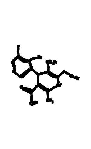 CCc1c(F)cccc1C1C(C(=O)OC)=C(C)NC(COC(C)=O)=C1C(=O)O